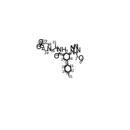 COCc1nnnn1-c1cc(C(=O)N[C@H](C)CN2CCS(=O)(=O)CC2)cc(-c2ccc(C)cc2)c1